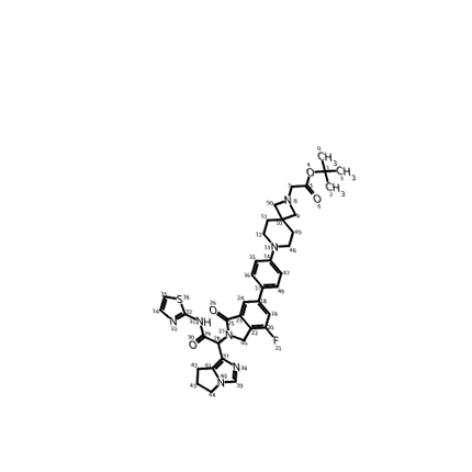 CC(C)(C)OC(=O)CN1CC2(CCN(c3ccc(-c4cc(F)c5c(c4)C(=O)N(C(C(=O)Nc4nccs4)c4ncn6c4CCC6)C5)cc3)CC2)C1